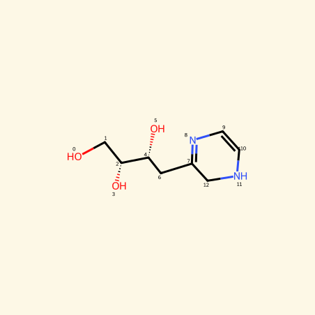 OC[C@@H](O)[C@H](O)CC1=NC=[C]NC1